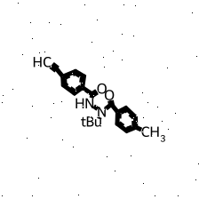 C#Cc1ccc(C(=O)NN(C(=O)c2ccc(C)cc2)C(C)(C)C)cc1